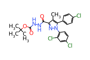 Cc1c(C(=O)NNC(=O)OC(C)(C)C)nn(-c2ccc(Cl)cc2Cl)c1-c1ccc(Cl)cc1